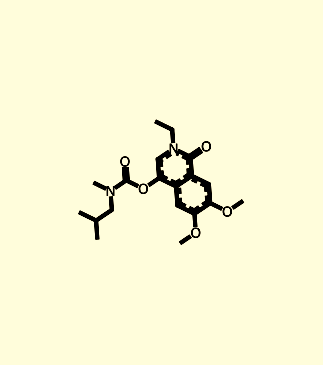 CCn1cc(OC(=O)N(C)CC(C)C)c2cc(OC)c(OC)cc2c1=O